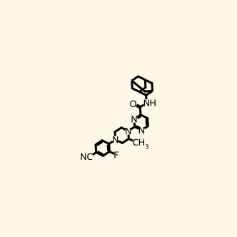 CC1CN(c2ccc(C#N)cc2F)CCN1c1nccc(C(=O)NC2C3CC4CC(C3)CC2C4)n1